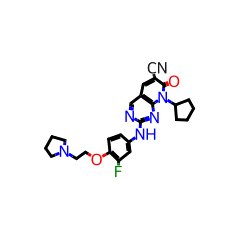 N#Cc1cc2cnc(Nc3ccc(OCCN4CCCC4)c(F)c3)nc2n(C2CCCC2)c1=O